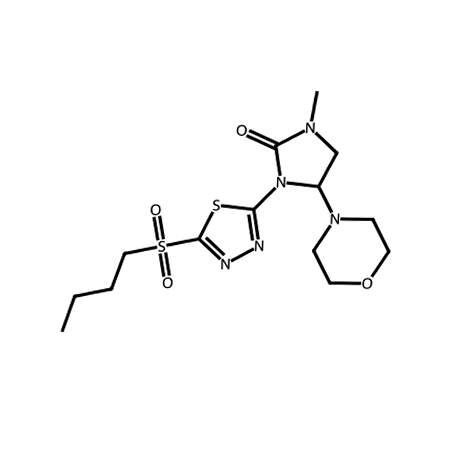 CCCCS(=O)(=O)c1nnc(N2C(=O)N(C)CC2N2CCOCC2)s1